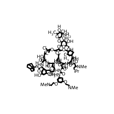 CNCCOc1cc(NC(=O)NC(=O)C[C@@H]2NC(=O)[C@H](NC(=O)[C@@H](CC(C)C)NC)[C@H](O)c3ccc(c(C)c3)Oc3cc4cc(c3O[C@@H]3O[C@H](CO)[C@@H](O)[C@H](O)[C@H]3O[C@H]3C[C@](C)(N)[C@H](O)[C@H](C)O3)Oc3ccc(cc3Cl)[C@@H](O)[C@@H]3NC(=O)[C@H](NC(=O)[C@@H]4NC2=O)c2ccc(O)c(c2)-c2c(C)cc(O)cc2[C@@H](C(=O)NC2C4CC5CC(C4)CC2C5)NC3=O)cc(OCCNC)c1